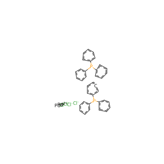 [Cl-].[Cl-].[Cl-].[Cl-].[Pd+2].[Pd+2].c1ccc(P(c2ccccc2)c2ccccc2)cc1.c1ccc(P(c2ccccc2)c2ccccc2)cc1